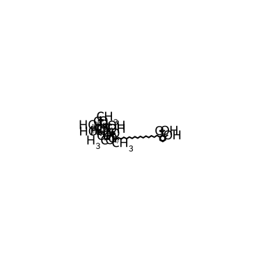 CC(=O)O[C@@H]1[C@H](O[C@H](CO)[C@H](O)[C@@H](O)[C@@H](OC(C)=O)C(=O)O[C@H](C)CCCCCCCCCCCCCCCc2cccc(O)c2C(=O)O)O[C@H](CO)[C@@H](O)[C@@H]1O